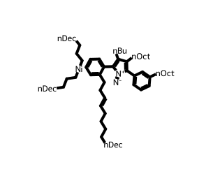 CCCCCCCCCCCCCCC=CCCc1ccccc1C1=C(CCCC)C(CCCCCCCC)=C(c2cccc(CCCCCCCC)c2)[N+]1=[N-].CCCCCCCCCCCC[CH2][Ni][CH2]CCCCCCCCCCCC